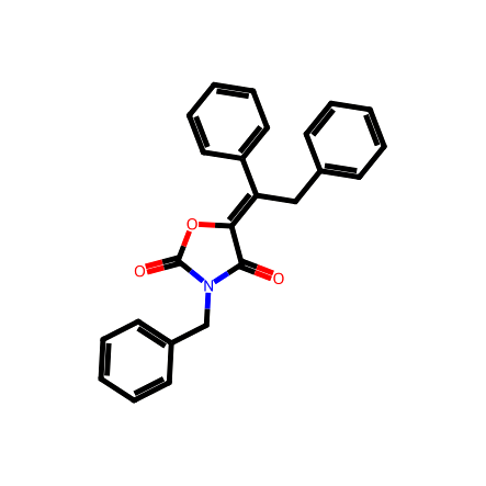 O=C1O/C(=C(/Cc2ccccc2)c2ccccc2)C(=O)N1Cc1ccccc1